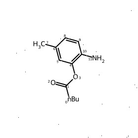 CCCCC(=O)Oc1cc(C)ccc1N